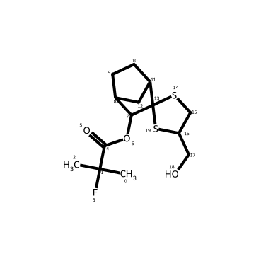 CC(C)(F)C(=O)OC1C2CCC(C2)C12SCC(CO)S2